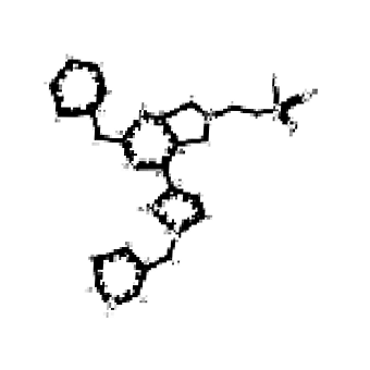 O=S(=O)(F)CCN1Cc2nc(Cc3ccccc3)nc(-c3ccn(Cc4cccnc4)n3)c2C1